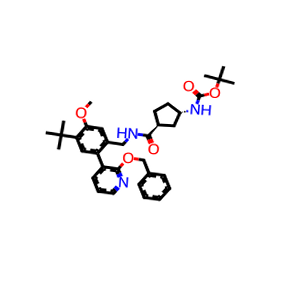 COc1cc(CNC(=O)[C@H]2CC[C@H](NC(=O)OC(C)(C)C)C2)c(-c2cccnc2OCc2ccccc2)cc1C(C)(C)C